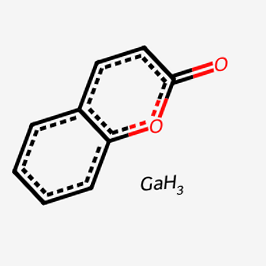 O=c1ccc2ccccc2o1.[GaH3]